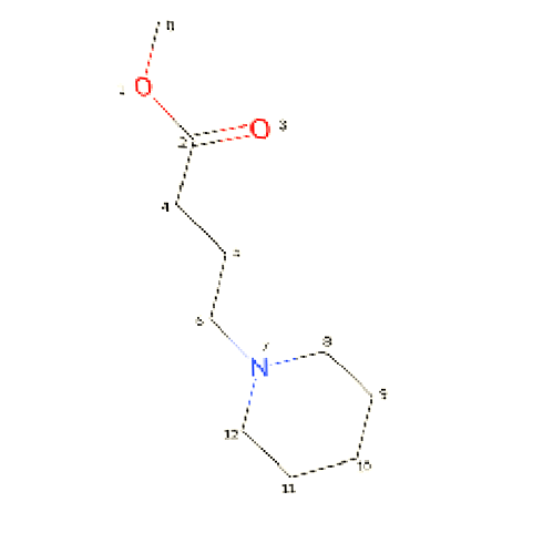 COC(=O)CCCN1CCCCC1